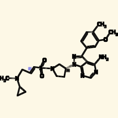 COc1cc(-c2nn([C@@H]3CCN(S(=O)(=O)/C=C/CN(C)C4CC4)C3)c3ncnc(N)c23)ccc1C